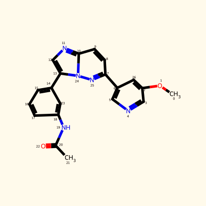 COc1cncc(-c2ccc3ncc(-c4cccc(NC(C)=O)c4)n3n2)c1